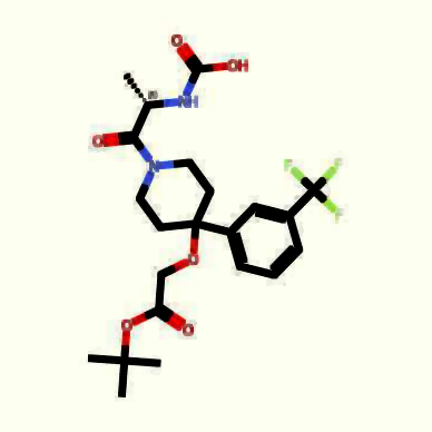 C[C@H](NC(=O)O)C(=O)N1CCC(OCC(=O)OC(C)(C)C)(c2cccc(C(F)(F)F)c2)CC1